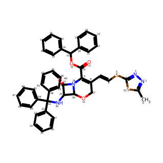 Cc1nnc(S/C=C/C2=C(C(=O)OC(c3ccccc3)c3ccccc3)N3C(=O)C(NC(c4ccccc4)(c4ccccc4)c4ccccc4)C3OC2)s1